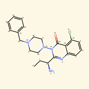 CC[C@H](N)c1nc2cccc(Cl)c2c(=O)n1N1CCN(Cc2ccccc2)CC1